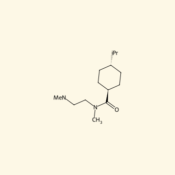 CNCCN(C)C(=O)[C@H]1CC[C@H](C(C)C)CC1